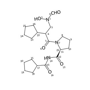 O=CN(O)CC(C(=O)N1CCC[C@H]1C(=O)NC(=O)C1CCCC1)C1CCCC1